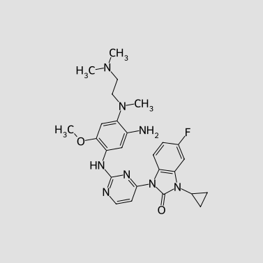 COc1cc(N(C)CCN(C)C)c(N)cc1Nc1nccc(-n2c(=O)n(C3CC3)c3cc(F)ccc32)n1